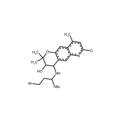 CCCCC(CCC(C)C)NC1c2cc3nc(Cl)cc(C)c3cc2OC(C)(C)C1O